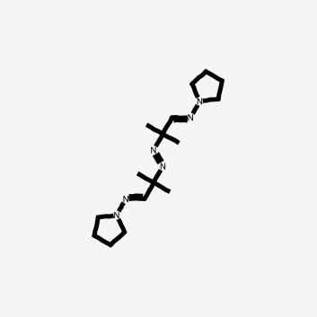 CC(C)(C=NN1CCCC1)N=NC(C)(C)C=NN1CCCC1